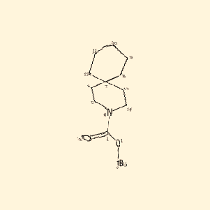 CC(C)(C)OC(=O)N1CCC2(CCCCC2)CC1